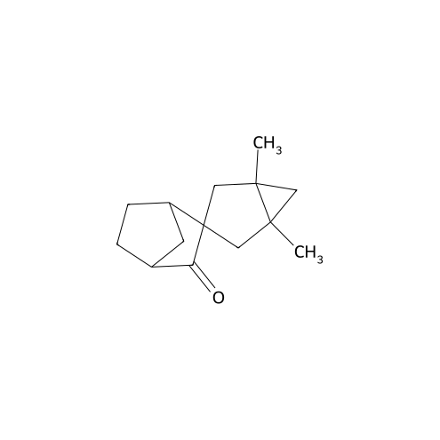 CC12CC3(CC1(C)C2)C(=O)C1CCC3C1